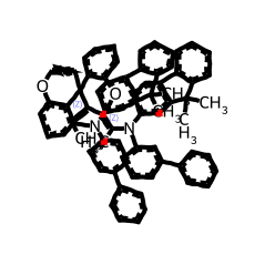 C/C=C1\C(=C(/C)N(c2cccc(-c3ccccc3)c2)c2ccc3c(c2)C(C)(C)c2ccccc2-3)Oc2ccccc2C12c1ccccc1Oc1cccc(N(c3ccc(-c4ccccc4)cc3)c3ccc4c(c3)C(C)(C)c3ccccc3-4)c12